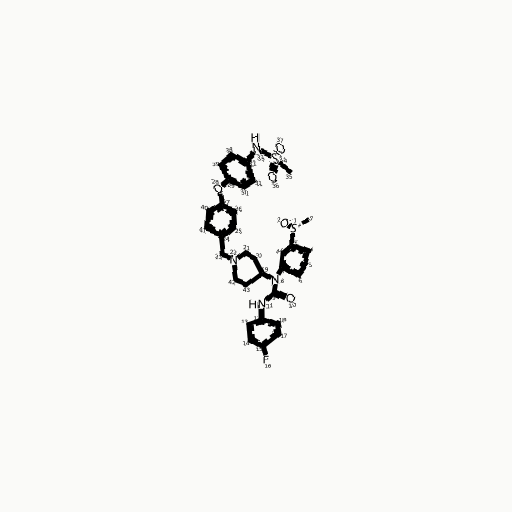 C[S+]([O-])c1cccc(N(C(=O)Nc2ccc(F)cc2)C2CCN(Cc3ccc(Oc4ccc(NS(C)(=O)=O)cc4)cc3)CC2)c1